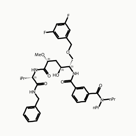 CCCN(CCC)C(=O)c1cccc(C(=O)N[C@@H](COCc2cc(F)cc(F)c2)[C@@H](O)C[C@@H](OC)C(=O)N[C@H](C(=O)NCc2ccccc2)C(C)C)c1